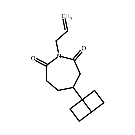 C=CCN1C(=O)CCC(C23CCC2CC3)CC1=O